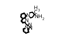 CC1(N)CCN(c2cccc3ccc(-c4nnc5ccccn45)nc23)CC1